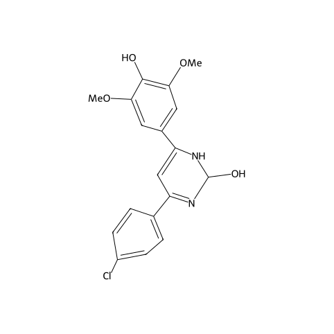 COc1cc(C2=CC(c3ccc(Cl)cc3)=NC(O)N2)cc(OC)c1O